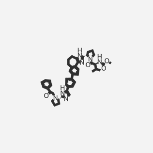 COC(=O)N[C@H](C(=O)N1CCC[C@H]1c1nc2c([nH]1)CCCc1cc(-c3ccc(-c4cnc([C@@H]5CCCN5CC(=O)c5ccccc5)[nH]4)cc3)ccc1-2)C(C)C